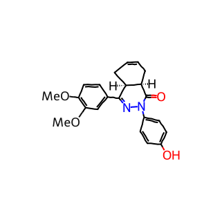 COc1ccc(C2=NN(c3ccc(O)cc3)C(=O)[C@@H]3CC=CC[C@H]23)cc1OC